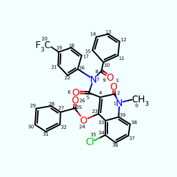 Cn1c(=O)c(C(=O)N(C(=O)c2ccccc2)c2ccc(C(F)(F)F)cc2)c(OC(=O)c2ccccc2)c2c(Cl)cccc21